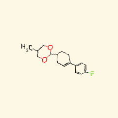 CC1COC(C2CC=C(c3ccc(F)cc3)CC2)OC1